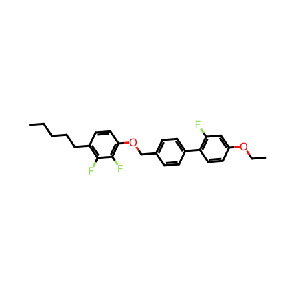 CCCCCc1ccc(OCc2ccc(-c3ccc(OCC)cc3F)cc2)c(F)c1F